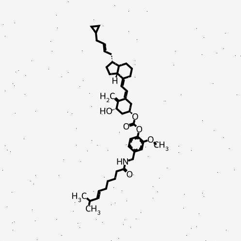 C=C1/C(=C\C=C2/CCCC3[C@@H](C/C=C/CC4CC4)CC[C@@H]23)C[C@@H](OC(=O)Oc2ccc(CNC(=O)CCCC/C=C/C(C)C)cc2OC)C[C@@H]1O